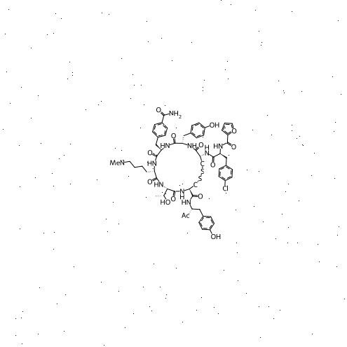 CNCCCC[C@@H]1NC(=O)[C@@H](Cc2ccc(C(N)=O)cc2)NC(=O)[C@H](Cc2ccc(O)cc2)NC(=O)[C@H](NC(=O)[C@H](Cc2ccc(Cl)cc2)NC(=O)c2ccco2)CSSC[C@@H](C(=O)N[C@H](Cc2ccc(O)cc2)C(C)=O)NC(=O)[C@H]([C@@H](C)O)NC1=O